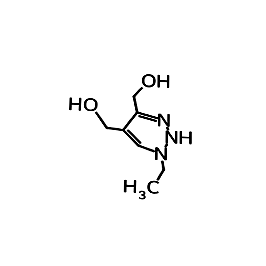 CCN1C=C(CO)C(CO)=NN1